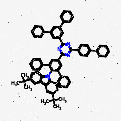 CC(C)(C)C1=Cc2c(n(-c3c(-c4c#cccc4)cc(-c4nc(-c5ccc(-c6ccccc6)cc5)nc(-c5cc(-c6ccccc6)cc(-c6ccccc6)c5)n4)cc3-c3ccccc3)c3ccc(C(C)(C)C)cc23)CC1